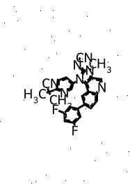 Cn1c(=NC#N)n(-c2ccc(C(C)(C)C#N)nc2)c2c3cc(-c4cc(F)cc(F)c4)ccc3ncc21